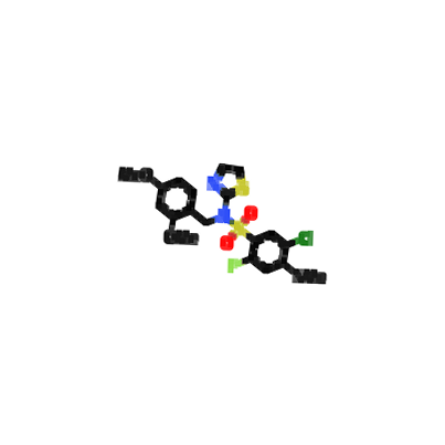 CNc1cc(F)c(S(=O)(=O)N(Cc2ccc(OC)cc2OC)c2nccs2)cc1Cl